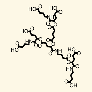 O=C(O)CCCNC(=O)C(CCC(=O)O)OC(=O)CCCNC(=O)C(CCC(=O)OC(CCC(=O)O)C(=O)NCCCC(=O)O)OC(=O)CCCC(=O)OC(CCC(=O)O)C(=O)NCCCC(=O)O